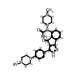 CC(C)N1CCN(c2ccc(-c3[nH]nc4c3C(=O)c3c-4cccc3N(C(N)=O)N3CCN(C)CC3)cc2)CC1